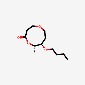 CCCCO[C@@H]1CCOCCC(=O)O[C@H]1C